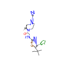 C[C@@H]1CN(C#N)CCN1C(=O)CNc1nc(Cl)c(C(C)(C)C)s1